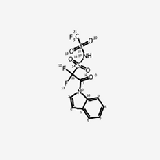 O=C(n1ccc2ccccc21)C(F)(F)S(=O)(=O)NS(=O)(=O)C(F)(F)F